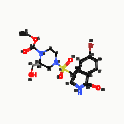 CC(C)(C)OC(=O)N1CCN(S(=O)(=O)c2c[nH]c(=O)c3ccc(Br)cc23)C[C@@H]1CO